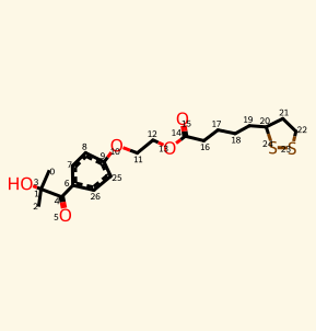 CC(C)(O)C(=O)c1ccc(OCCOC(=O)CCCCC2CCSS2)cc1